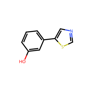 Oc1cccc(-c2cncs2)c1